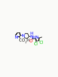 Cc1[nH]c(C(=O)NC2CCN(c3cccnc3C(=O)O)CC2)c(Cl)c1Cl